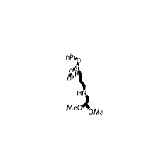 CCCO[SiH](CCCNCC(OC)OC)OCCC